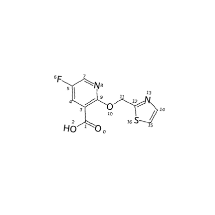 O=C(O)c1cc(F)cnc1OCc1nccs1